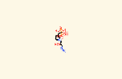 [N-]=[N+]=NCC(O)C[n+]1cccc(CC(O)(P(=O)(O)O)P(=O)(O)O)c1